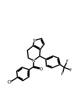 O=C(c1ccc(Cl)cc1)N1CCc2sccc2C1c1ccc(C(F)(F)F)cc1